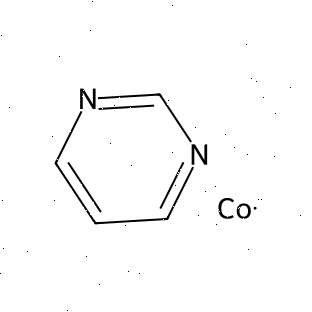 [Co].c1cncnc1